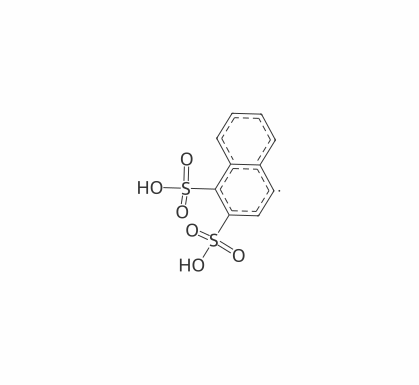 O=S(=O)(O)c1c[c]c2ccccc2c1S(=O)(=O)O